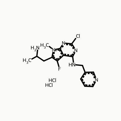 CC(N)Cc1c(F)c2c(NCc3cccnc3)nc(Cl)nc2n1C.Cl.Cl